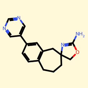 NC1=NC2(CCCc3ccc(-c4cncnc4)cc3C2)CO1